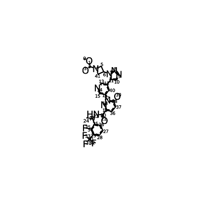 COC(=O)N1CC(n2nncc2-c2cncc(-n3nc(C(=O)N[C@H](C)c4cccc(C(F)(F)F)c4F)ccc3=O)c2)C1